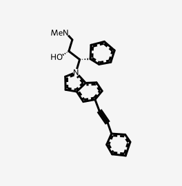 CNC[C@@H](O)[C@H](c1ccccc1)n1ccc2cc(C#Cc3ccccc3)ccc21